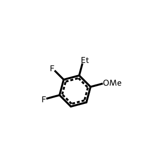 CCc1c(OC)ccc(F)c1F